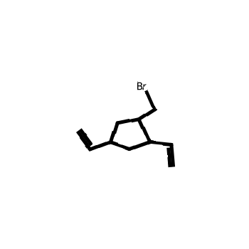 C=CC1CC(C=C)C(CBr)C1